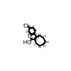 O=C(O)/C1=C(\c2ccc(Cl)cc2)CCCCCC1